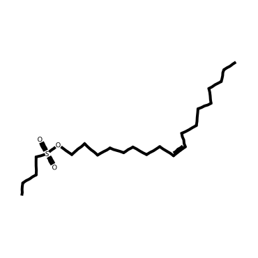 CCCCCCCC/C=C\CCCCCCCCOS(=O)(=O)CCCC